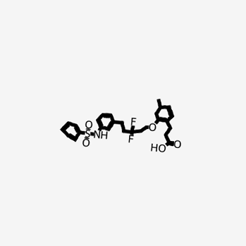 CC1C=CC(CCC(=O)O)=C(OCCC(F)(F)CCc2cccc(NS(=O)(=O)c3ccccc3)c2)C1